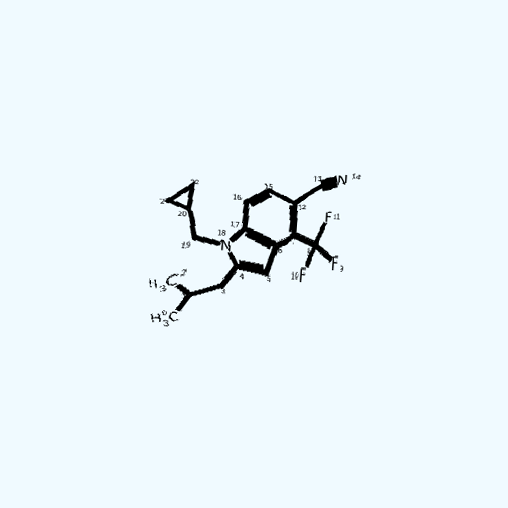 CC(C)Cc1cc2c(C(F)(F)F)c(C#N)ccc2n1CC1CC1